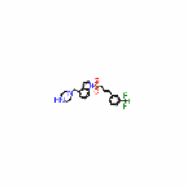 O=S(=O)(CC=Cc1cccc(C(F)(F)F)c1)n1ccc2c(CN3CCNCC3)cccc21